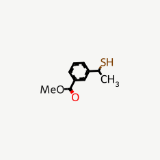 COC(=O)c1cccc(C(C)S)c1